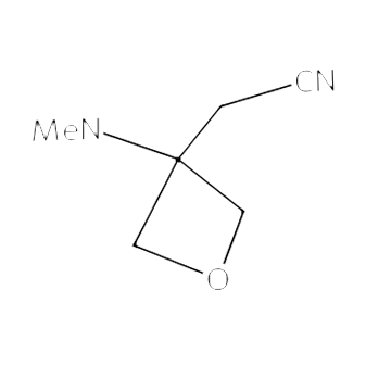 CNC1(CC#N)COC1